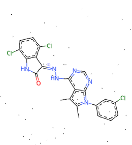 Cc1c(C)n(-c2cccc(Cl)c2)c2ncnc(N/N=C3\C(=O)Nc4c(Cl)ccc(Cl)c43)c12